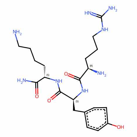 N=C(N)NCCC[C@@H](N)C(=O)N[C@@H](Cc1ccc(O)cc1)C(=O)N[C@@H](CCCCN)C(N)=O